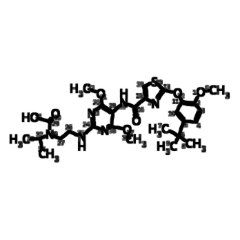 COc1ccc(C(C)(C)C)cc1Oc1nc(C(=O)Nc2c(OC)nc(NCCN(C(=O)O)C(C)C)nc2OC)cs1